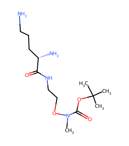 CN(OCCNC(=O)[C@@H](N)CCCN)C(=O)OC(C)(C)C